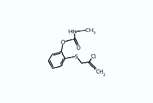 C=C(Cl)CSc1ccccc1OC(=O)NC